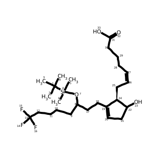 CC(C)(C)[Si](C)(C)OC(CCCCC(F)(F)F)CCC1=CCC(O)[C@@H]1C/C=C\CCCC(=O)O